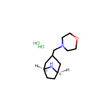 C1CN(CC2C[C@H]3CC[C@@H](C2)N3)CCO1.Cl.Cl